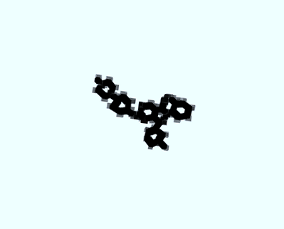 Cc1cccc(-c2nn(-c3ccccc3Cl)c(=O)c3cnc(Nc4ccc(N5CCN(C)CC5)cc4)nc23)c1